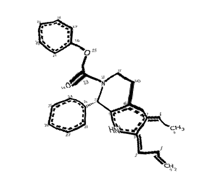 C=C/C=c1/[nH]c2c(/c1=C/C)CCN(C(=O)Oc1ccccc1)[C@H]2c1ccccc1